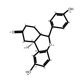 O=C1CCC2C(c3ccc(O)cc3)Oc3ccc(O)cc3[C@H]2C1